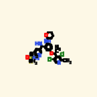 Cc1ncc(Cl)c([C@@H](C)Oc2ccc(NC3CCCCO3)c(C(=N)c3ccc(N[SH](C)(C)=O)nc3)c2)c1Cl